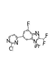 CC(C)n1c(C(F)F)nc2c(F)cc(-c3ccnc(Cl)n3)cc21